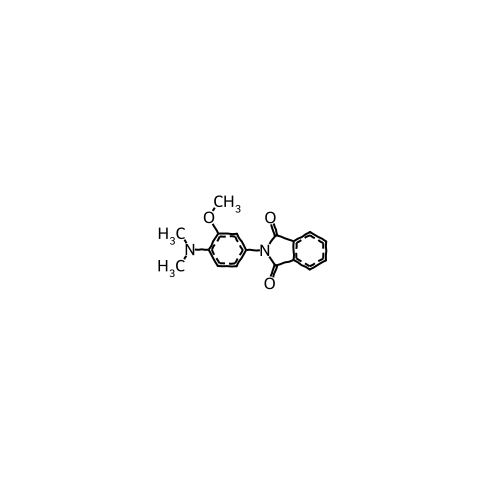 COc1cc(N2C(=O)c3ccccc3C2=O)ccc1N(C)C